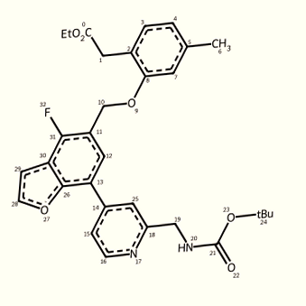 CCOC(=O)Cc1ccc(C)cc1OCc1cc(-c2ccnc(CNC(=O)OC(C)(C)C)c2)c2occc2c1F